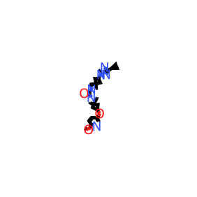 COc1ccc(OC2CC3(C2)CN(C(=O)N2CC4(CC(n5cnc(C6CC6)n5)C4)C2)C3)cn1